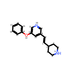 C(=C\C1CCNCC1)/c1cncc(Oc2ccccc2)c1